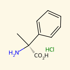 C[C@@](N)(C(=O)O)c1ccccc1.Cl